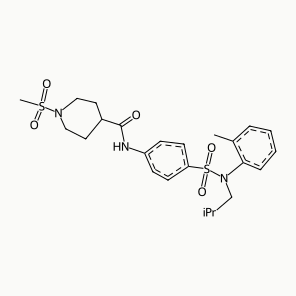 Cc1ccccc1N(CC(C)C)S(=O)(=O)c1ccc(NC(=O)C2CCN(S(C)(=O)=O)CC2)cc1